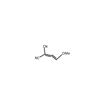 COC=C=C(C#N)C#N